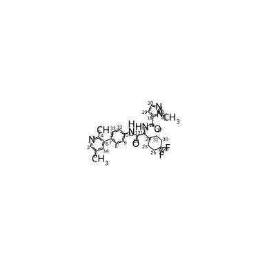 Cc1cnc(C)c(-c2ccc(NC(=O)C(NC(=O)c3ccnn3C)C3CCC(F)(F)CC3)cc2)c1